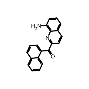 Nc1cccc2ccc(C(=O)c3cccc4ccccc34)nc12